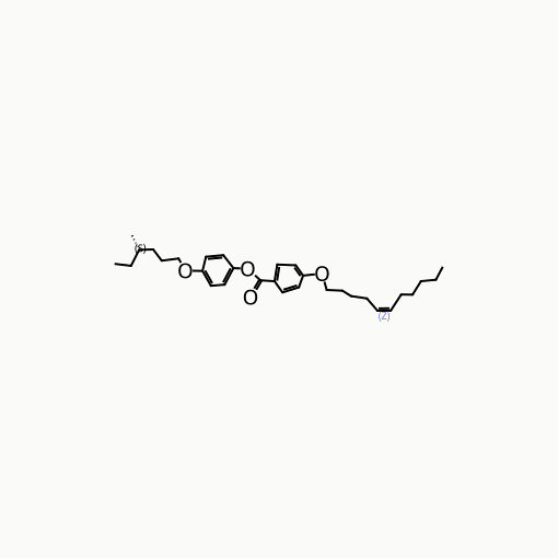 CCCCC/C=C\CCCCOc1ccc(C(=O)Oc2ccc(OCCC[C@@H](C)CC)cc2)cc1